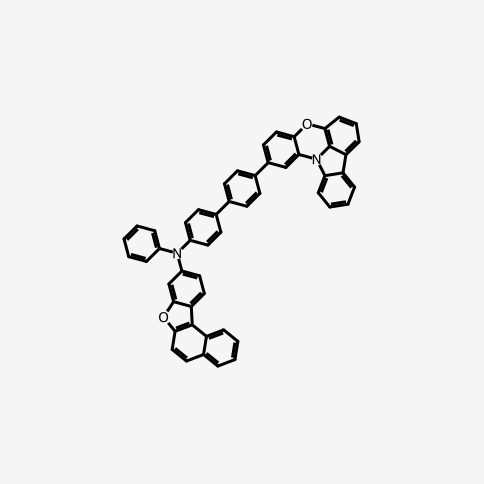 c1ccc(N(c2ccc(-c3ccc(-c4ccc5c(c4)-n4c6ccccc6c6cccc(c64)O5)cc3)cc2)c2ccc3c(c2)oc2ccc4ccccc4c23)cc1